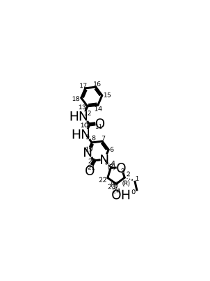 CC[C@H]1O[C@@H](n2ccc(NC(=O)Nc3ccccc3)nc2=O)C[C@H]1O